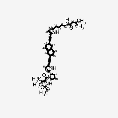 COC(=O)N[C@H](C(=O)N1CCC[C@H]1C1=NCC(C#Cc2ccc3cc(C#Cc4cnc(CCCCNC(=O)CC(C)C)[nH]4)ccc3c2)N1)C(C)C